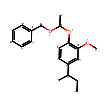 CCC(C)c1ccc(OC(C)OCc2ccccc2)c(OC)c1